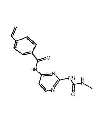 C=Cc1ccc(C(=O)Nc2ccnc(NC(=O)NC)n2)cc1